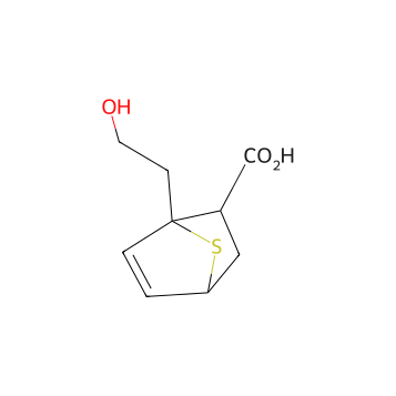 O=C(O)C1CC2C=CC1(CCO)S2